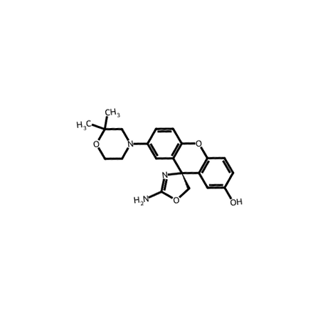 CC1(C)CN(c2ccc3c(c2)[C@]2(COC(N)=N2)c2cc(O)ccc2O3)CCO1